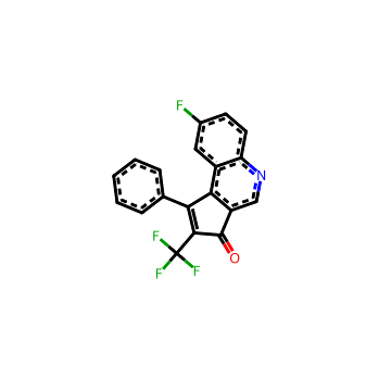 O=C1C(C(F)(F)F)=C(c2ccccc2)c2c1cnc1ccc(F)cc21